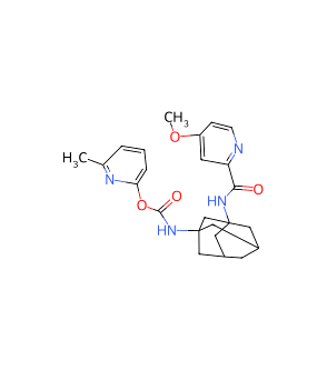 COc1ccnc(C(=O)NC23CC4CC(CC(NC(=O)Oc5cccc(C)n5)(C4)C2)C3)c1